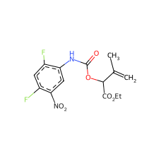 C=C(C)C(OC(=O)Nc1cc([N+](=O)[O-])c(F)cc1F)C(=O)OCC